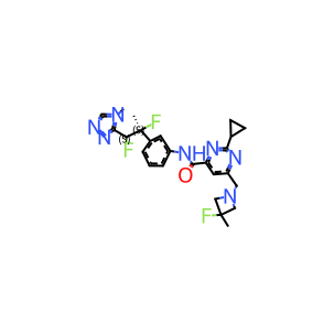 Cn1cnnc1[C@H](F)[C@@](C)(F)c1cccc(NC(=O)c2cc(CN3CC(C)(F)C3)nc(C3CC3)n2)c1